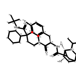 CC(C)N1C[C@H]2CC[C@@H]1[C@H](C(=O)N[C@H](Cc1ccc(F)cc1)C(=O)N1CCC(C(=O)NC(C)(C)C)(C3CCCCC3)CC1)C2